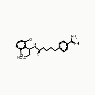 N=C(N)c1ccc(CCCCC(=O)NC(CC(=O)O)c2c(Cl)cccc2Cl)cc1